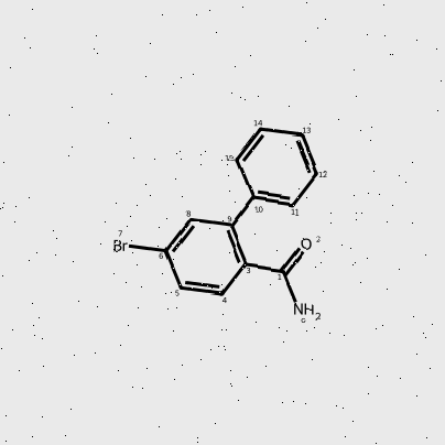 NC(=O)c1ccc(Br)cc1-c1ccccc1